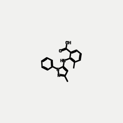 Cc1cc(Nc2c(C)cccc2C(=O)O)n(-c2ccccc2)n1